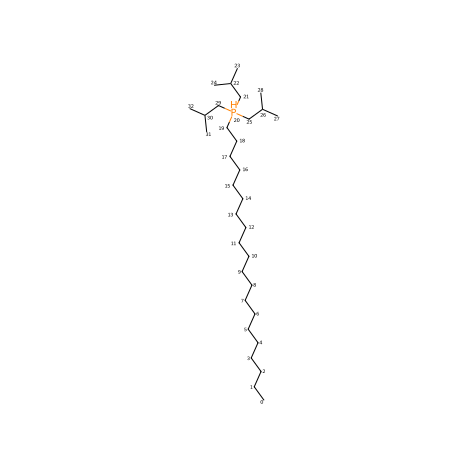 CCCCCCCCCCCCCCCCCCCC[PH](CC(C)C)(CC(C)C)CC(C)C